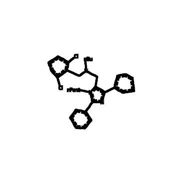 CCCCCn1c(-c2ccccc2)nc(-c2ccccc2)c1CN(CCCC)Cc1c(Cl)cccc1Cl